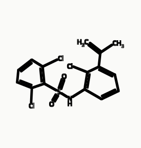 C=C(C)c1cccc(NS(=O)(=O)c2c(Cl)cccc2Cl)c1Cl